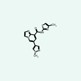 Cc1csc(NC(=O)c2cc(-c3cnn(C)c3)cn3ccnc23)n1